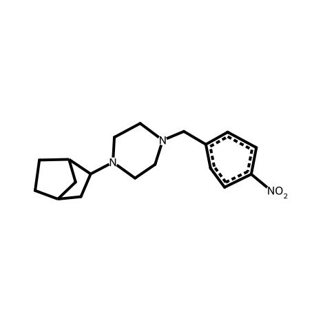 O=[N+]([O-])c1ccc(CN2CCN(C3CC4CCC3C4)CC2)cc1